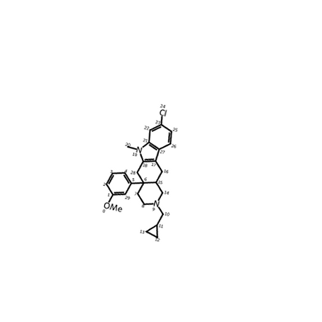 COc1cccc(C23CCN(CC4CC4)CC2Cc2c(n(C)c4cc(Cl)ccc24)C3)c1